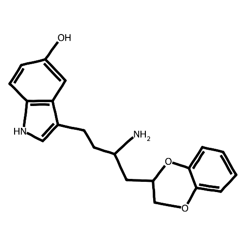 NC(CCc1c[nH]c2ccc(O)cc12)CC1COc2ccccc2O1